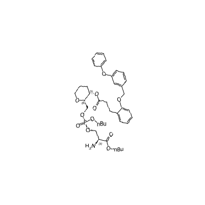 CCCCOC(=O)[C@@H](N)COP(=O)(OCCCC)OC[C@H]1OCCC[C@@H]1OC(=O)CCc1ccccc1OCc1cccc(Oc2ccccc2)c1